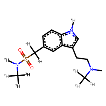 [2H]N(C([2H])([2H])[2H])S(=O)(=O)C([2H])([2H])c1ccc2c(c1)c(CCN(C)C([2H])([2H])[2H])cn2[2H]